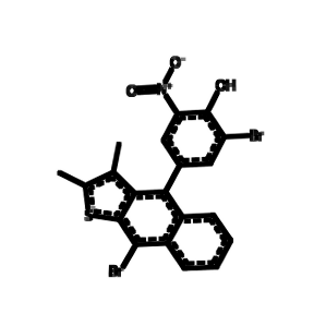 Cc1sc2c(Br)c3ccccc3c(-c3cc(Br)c(O)c([N+](=O)[O-])c3)c2c1C